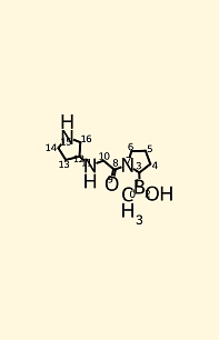 CB(O)C1CCCN1C(=O)CNC1CCNC1